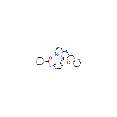 O=C(Nc1cccc(-n2c(=O)c(Cc3ccccc3)nc3cccnc32)c1)C1CCCCC1